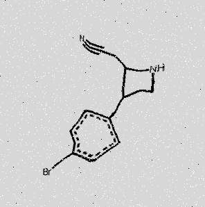 N#CC1NCC1c1ccc(Br)cc1